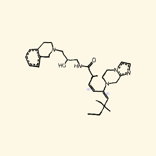 CCC(C)(C)/C=C(\C=C/C(C)C(=O)NCC(O)CN1CCc2ccccc2C1)N1CCn2ccnc2C1